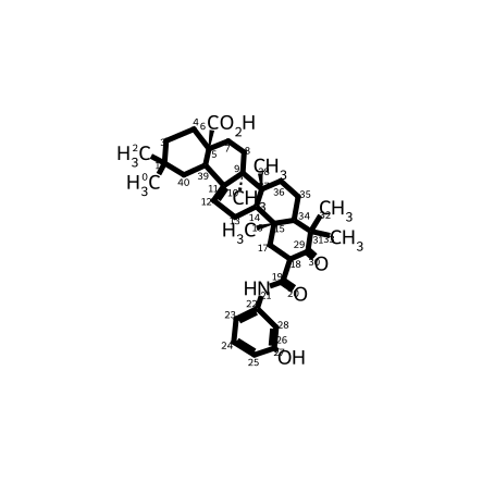 CC1(C)CC[C@]2(C(=O)O)CC[C@]3(C)C(=CCC4[C@@]5(C)CC(C(=O)Nc6cccc(O)c6)C(=O)C(C)(C)C5CC[C@]43C)C2C1